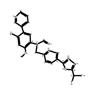 COc1cc(Cl)c(-c2cccnc2)cc1N(C=O)Cc1ccc(-c2nnc(C(F)F)o2)cn1